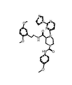 COc1ccc(NC(=O)N2CCN(c3ccnc(-n4ccnc4)n3)C(C(=O)NCCc3cc(OC)ccc3OC)C2)cc1